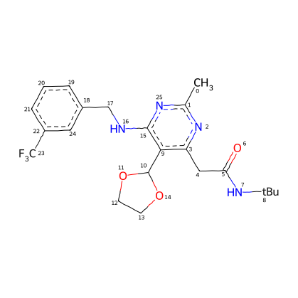 Cc1nc(CC(=O)NC(C)(C)C)c(C2OCCO2)c(NCc2cccc(C(F)(F)F)c2)n1